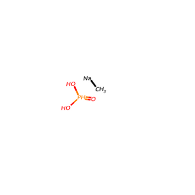 O=[PH](O)O.[CH3][Na]